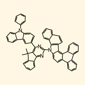 CC1(C)c2ccccc2-c2nc(-n3c4ccc5c6ccccc6c6ccccc6c5c4c4ccc5ccccc5c43)nc(-c3ccc4c(c3)c3ccccc3n4-c3ccccc3)c21